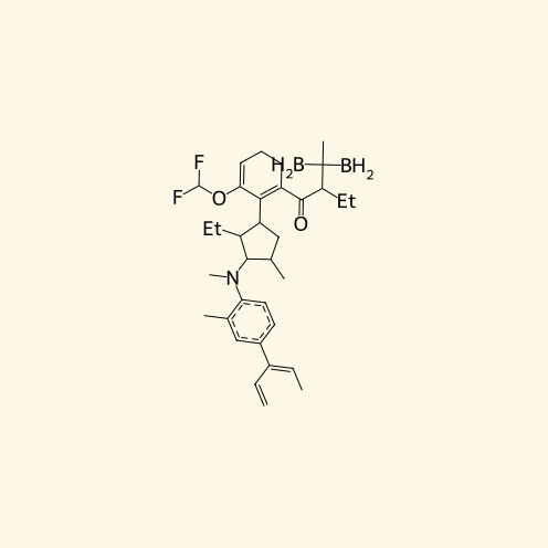 BC(B)(C)C(CC)C(=O)C1=C(C2CC(C)C(N(C)c3ccc(/C(C=C)=C/C)cc3C)C2CC)C(OC(F)F)=CCC1